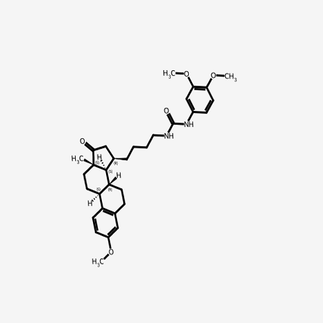 COc1ccc2c(c1)CC[C@H]1[C@@H]3[C@H](CCCCNC(=O)Nc4ccc(OC)c(OC)c4)CC(=O)[C@@]3(C)CC[C@H]21